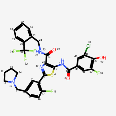 O=C(Nc1sc(-c2cc(CN3CCCC3)ccc2F)nc1C(=O)NCc1ccccc1C(F)(F)F)c1cc(F)c(O)c(Cl)c1